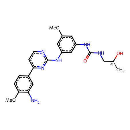 COc1cc(NC(=O)NC[C@@H](C)O)cc(Nc2nccc(-c3ccc(OC)c(N)c3)n2)c1